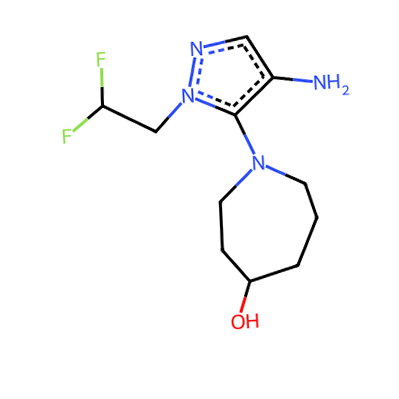 Nc1cnn(CC(F)F)c1N1CCCC(O)CC1